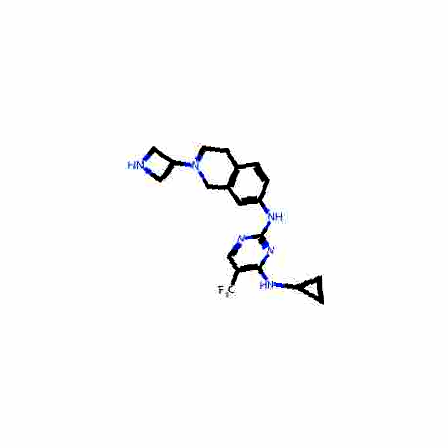 FC(F)(F)c1cnc(Nc2ccc3c(c2)CN(C2CNC2)CC3)nc1NC1CC1